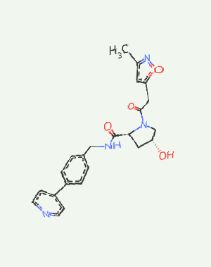 Cc1cc(CC(=O)N2C[C@H](O)C[C@H]2C(=O)NCc2ccc(-c3ccncc3)cc2)on1